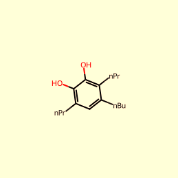 CCCCc1cc(CCC)c(O)c(O)c1CCC